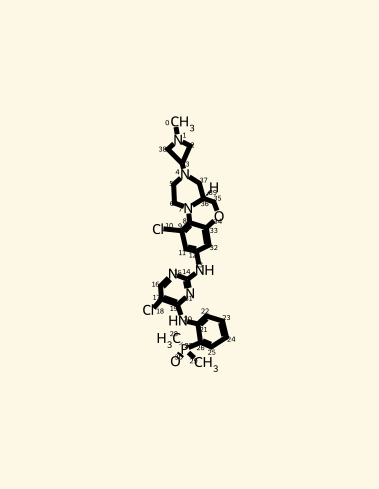 CN1CC(N2CCN3c4c(Cl)cc(Nc5ncc(Cl)c(Nc6ccccc6P(C)(C)=O)n5)cc4OC[C@@H]3C2)C1